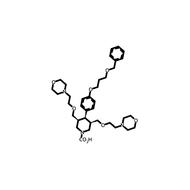 O=C(O)N1C[C@@H](COCCN2CCOCC2)[C@@H](c2ccc(OCCCOCc3ccccc3)cc2)[C@@H](COCCN2CCOCC2)C1